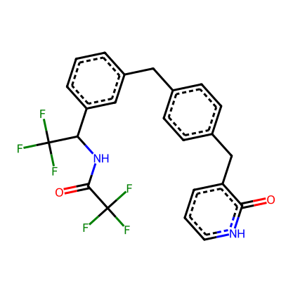 O=C(NC(c1cccc(Cc2ccc(Cc3ccc[nH]c3=O)cc2)c1)C(F)(F)F)C(F)(F)F